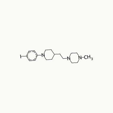 CN1CCN(CCC2CCN(c3ccc(I)cc3)CC2)CC1